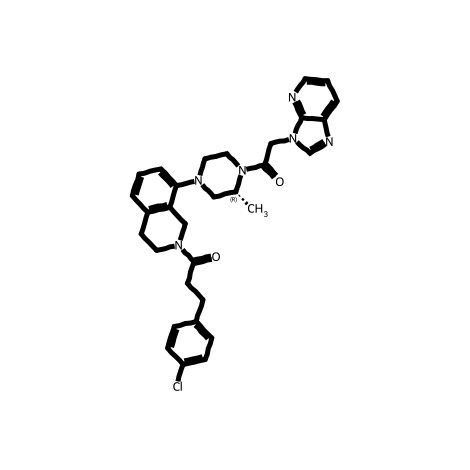 C[C@@H]1CN(c2cccc3c2CN(C(=O)CCc2ccc(Cl)cc2)CC3)CCN1C(=O)Cn1cnc2cccnc21